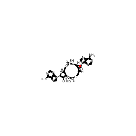 Nc1ncnc2c1ncn2[C@@H]1O[C@@H]2CO[P@@](=O)(S)O[C@@H]3[C@H](F)[C@@H](CO[P@](=O)(S)O[C@H]2[C@H]1O)O[C@H]3n1cnc2c(N)ncnc21